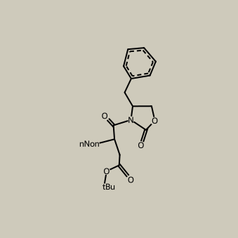 CCCCCCCCCC(CC(=O)OC(C)(C)C)C(=O)N1C(=O)OCC1Cc1ccccc1